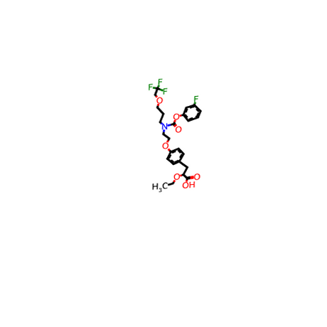 CCOC(Cc1ccc(OCCN(CCCOCC(F)(F)F)C(=O)Oc2cccc(F)c2)cc1)C(=O)O